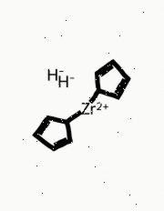 C1=C[CH]([Zr+2][CH]2C=CC=C2)C=C1.[H-].[H-]